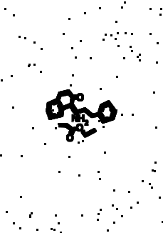 CCOC(=O)CC.NC(CCc1ccccc1)=C1C(=O)C=Cc2ccccc21